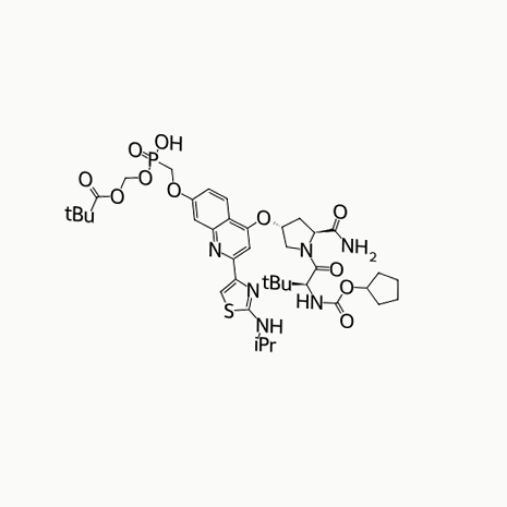 CC(C)Nc1nc(-c2cc(O[C@@H]3C[C@@H](C(N)=O)N(C(=O)[C@@H](NC(=O)OC4CCCC4)C(C)(C)C)C3)c3ccc(OCP(=O)(O)OCOC(=O)C(C)(C)C)cc3n2)cs1